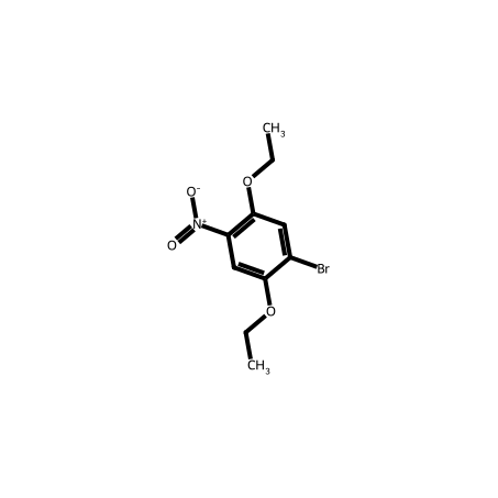 CCOc1cc([N+](=O)[O-])c(OCC)cc1Br